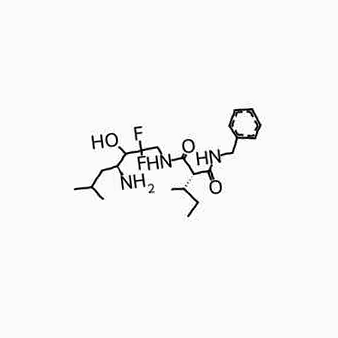 CCC(C)[C@@H](C(=O)NCc1ccccc1)C(=O)NCC(F)(F)C(O)[C@@H](N)CC(C)C